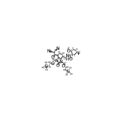 COc1ccc(F)cc1C(=O)NCc1ccc(C(=O)C(C#N)C#N)c2c1n(COCC[Si](C)(C)C)c(=O)n2COCC[Si](C)(C)C